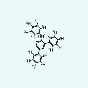 [2H]c1c([2H])c([2H])c(Nc2c(F)cc(-c3c([2H])c([2H])c([2H])c([2H])c3[2H])cc2-c2c([2H])c([2H])c([2H])c([2H])c2[2H])c([2H])c1[2H]